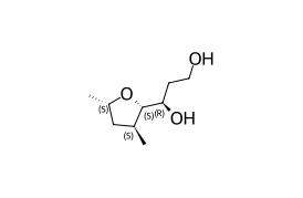 C[C@H]1C[C@H](C)[C@@H]([C@H](O)CCO)O1